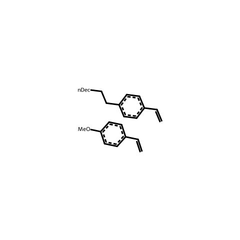 C=Cc1ccc(CCCCCCCCCCCC)cc1.C=Cc1ccc(OC)cc1